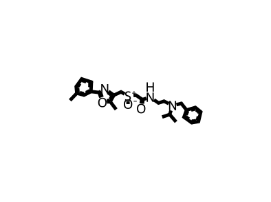 Cc1cccc(-c2nc(C[S+]([O-])CC(=O)NCCN(Cc3ccccc3)C(C)C)c(C)o2)c1